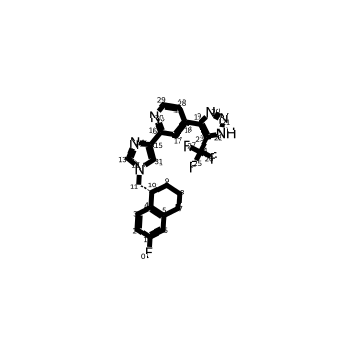 Fc1ccc2c(c1)CCC[C@H]2Cn1cnc(-c2cc(-c3nn[nH]c3C(F)(F)F)ccn2)c1